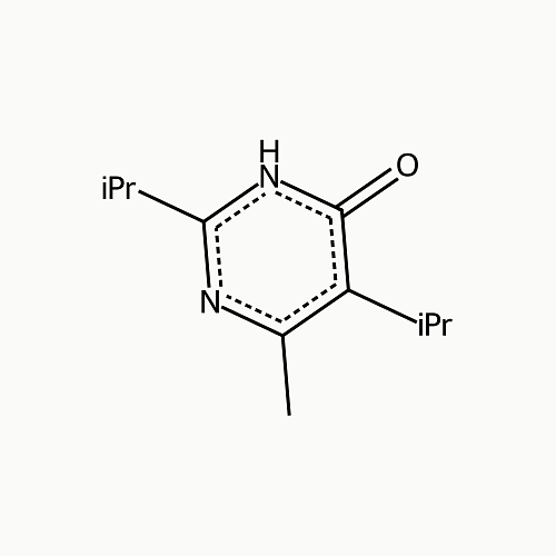 Cc1nc(C(C)C)[nH]c(=O)c1C(C)C